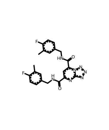 Cc1cc(CNC(=O)c2cc(C(=O)NCc3ccc(F)c(C)c3)n3nnnc3n2)ccc1F